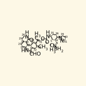 BN(C)Cc1cc(NC(=O)OC[C@H](C)c2ccc(C(C=O)Nc3ccc4cc[nH]c(=O)c4c3)cc2C)ccc1-n1cccn1